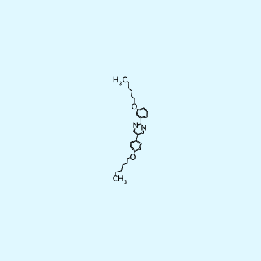 CCCCCCOc1ccc(-c2cnc(-c3cccc(OCCCCCC)c3)nc2)cc1